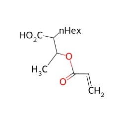 C=CC(=O)OC(C)C(CCCCCC)C(=O)O